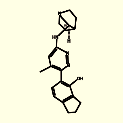 Cc1cc(N[C@H]2CN3CCC2CC3)nnc1-c1ccc2c(c1O)CCC2